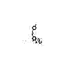 [CH2]Oc1c2n(cc(C(=O)NCc3ccc(F)cc3F)c1=O)C[C@H]1OC[C@H](C)N1C2=O